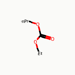 CC[CH]OC(=O)OCC